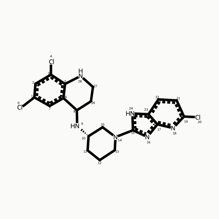 Clc1cc(Cl)c2c(c1)C(N[C@H]1CCCN(c3nc4nc(Cl)ccc4[nH]3)C1)CCN2